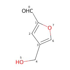 O=Cc1cc(CO)co1